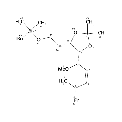 COC(/C=C\[C@@H](C)C(C)C)[C@H]1OC(C)(C)O[C@H]1CCO[Si](C)(C)C(C)(C)C